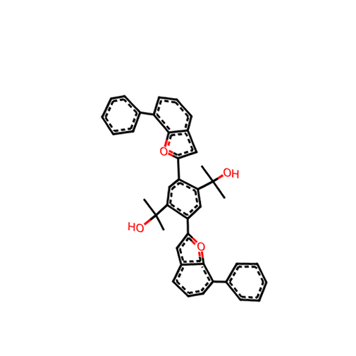 CC(C)(O)c1cc(-c2cc3cccc(-c4ccccc4)c3o2)c(C(C)(C)O)cc1-c1cc2cccc(-c3ccccc3)c2o1